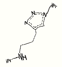 CC(C)NCCc1cn(C(C)C)nn1